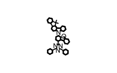 CC1(C)c2ccccc2-c2ccc3c(c21)c1ccccc1n3-c1ccc(-c2nc(-c3ccccc3)nc(-c3ccccc3)n2)c2c1oc1ccccc12